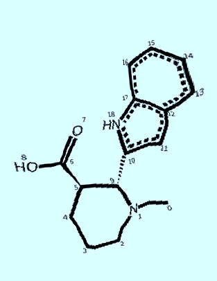 CN1CCC[C@@H](C(=O)O)[C@@H]1c1cc2ccccc2[nH]1